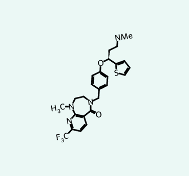 CNCC[C@H](Oc1ccc(CN2CCN(C)c3nc(C(F)(F)F)ccc3C2=O)cc1)c1cccs1